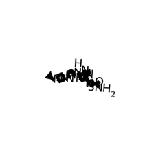 NC(=O)c1cc(-c2cnc(Nc3ccc(N4CCN(CC5CC5)CC4)nc3)c3ncnn23)cs1